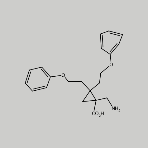 NCC1(C(=O)O)CC1(CCOc1ccccc1)CCOc1ccccc1